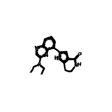 CCN(CC)c1cnc2cccc(-c3cc4c([nH]3)CCNC4=O)c2n1